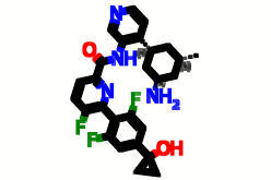 C[C@@H]1C[C@H](N)C[C@H](c2ccncc2NC(=O)c2ccc(F)c(-c3c(F)cc(C4(O)CC4)cc3F)n2)C1